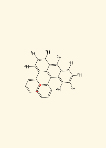 [2H]c1c([2H])c([2H])c2c(-c3ccccc3)c3c(-c4ccccc4)c([2H])c([2H])c([2H])c3c([2H])c2c1[2H]